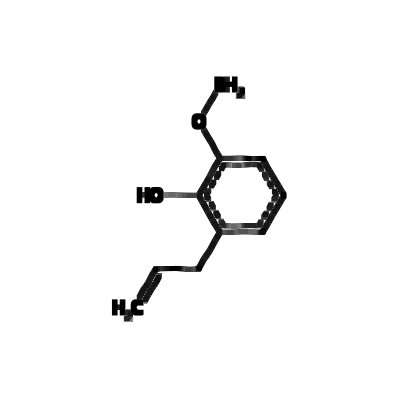 BOc1cccc(CC=C)c1O